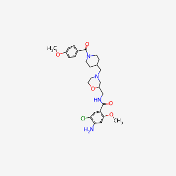 COc1ccc(C(=O)N2CCC(CN3CCOC(CNC(=O)c4cc(Cl)c(N)cc4OC)C3)CC2)cc1